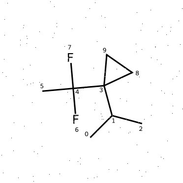 CC(C)C1(C(C)(F)F)CC1